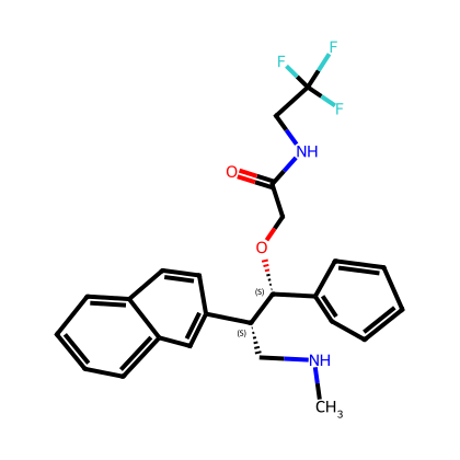 CNC[C@H](c1ccc2ccccc2c1)[C@H](OCC(=O)NCC(F)(F)F)c1ccccc1